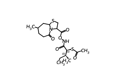 CC[C@H](C)[C@H](SC(C)=O)C(=O)NOC(=O)C1CSC2CC(C)CCC(=O)N21